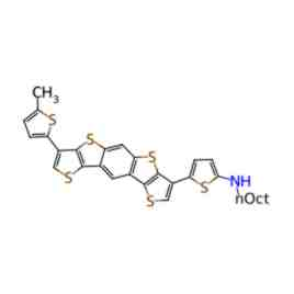 CCCCCCCCNc1ccc(-c2csc3c2sc2cc4sc5c(-c6ccc(C)s6)csc5c4cc23)s1